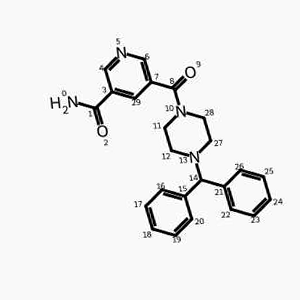 NC(=O)c1cncc(C(=O)N2CCN(C(c3ccccc3)c3ccccc3)CC2)c1